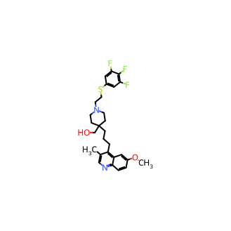 COc1ccc2ncc(C)c(CCCC3(CO)CCN(CCSc4cc(F)c(F)c(F)c4)CC3)c2c1